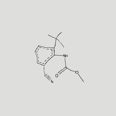 COC(=O)Nc1c(C#N)cccc1C(C)(C)C